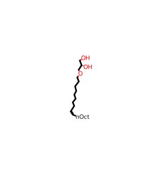 CCCCCCCC/C=C\CCCCCCCCOC[C@@H](O)CO